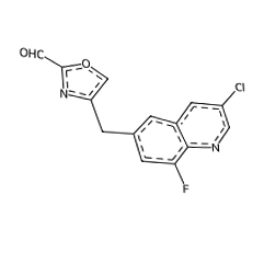 O=Cc1nc(Cc2cc(F)c3ncc(Cl)cc3c2)co1